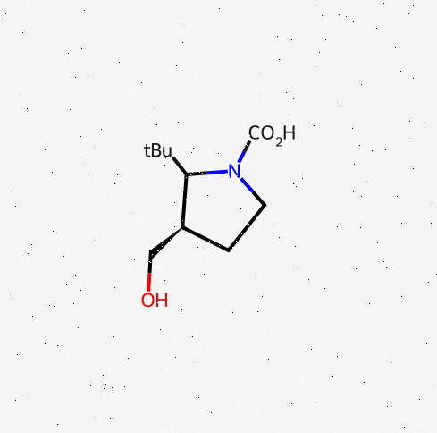 CC(C)(C)C1[C@H](CO)CCN1C(=O)O